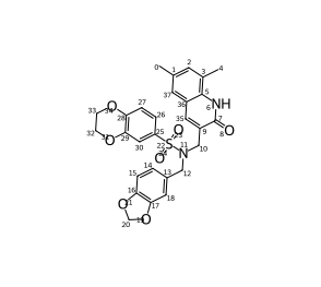 Cc1cc(C)c2[nH]c(=O)c(CN(Cc3ccc4c(c3)OCO4)S(=O)(=O)c3ccc4c(c3)OCCO4)cc2c1